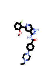 CCN1CCN(c2ccc(C(=O)Nc3n[nH]c4cnc(-c5c(F)cccc5OC)cc34)cc2)CC1